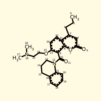 CCCc1cc(=O)oc2c(C(=O)N3CCCc4ccccc43)c(OCCN(C)C)ccc12